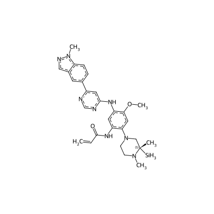 C=CC(=O)Nc1cc(Nc2cc(-c3ccc4c(cnn4C)c3)ncn2)c(OC)cc1N1CCN(C)[C@@](C)([SiH3])C1